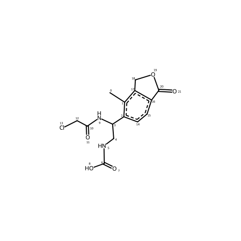 Cc1c(C(CNC(=O)O)NC(=O)CCl)ccc2c1COC2=O